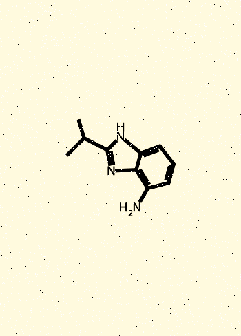 CC(C)c1nc2c(N)cccc2[nH]1